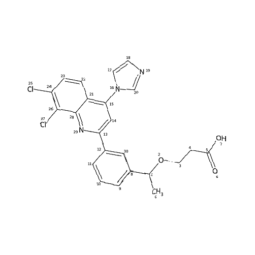 CC(OCCC(=O)O)c1cccc(-c2cc(-n3ccnc3)c3ccc(Cl)c(Cl)c3n2)c1